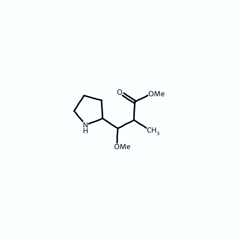 COC(=O)C(C)C(OC)C1CCCN1